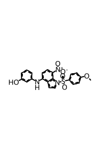 COc1ccc(S(=O)(=O)n2ccc3c(Nc4cccc(O)c4)ccc([N+](=O)[O-])c32)cc1